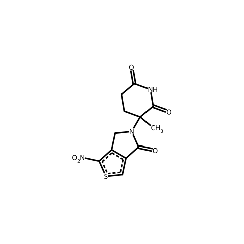 CC1(N2Cc3c(csc3[N+](=O)[O-])C2=O)CCC(=O)NC1=O